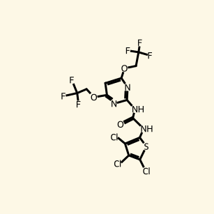 O=C(Nc1nc(OCC(F)(F)F)cc(OCC(F)(F)F)n1)Nc1sc(Cl)c(Cl)c1Cl